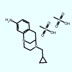 CS(=O)(=O)O.CS(=O)(=O)O.Nc1ccc2c(c1)N1CCN(CC3CC3)C(C2)C1